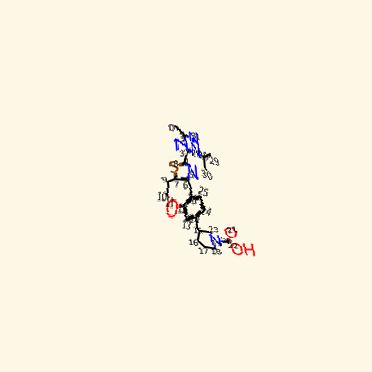 Cc1nc(-c2nc3c(s2)CCOc2cc(C4CCCN(C(=O)O)C4)ccc2-3)n(C(C)C)n1